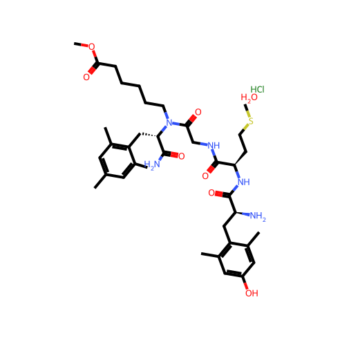 COC(=O)CCCCCN(C(=O)CNC(=O)[C@@H](CCSC)NC(=O)[C@@H](N)Cc1c(C)cc(O)cc1C)[C@@H](Cc1c(C)cc(C)cc1C)C(N)=O.Cl.O